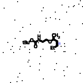 C=C(/C=C\CC)OCCNC(=O)OC(C)(C)C